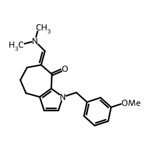 COc1cccc(Cn2ccc3c2C(=O)/C(=C/N(C)C)CCC3)c1